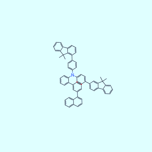 CC1(C)c2ccccc2-c2ccc(-c3ccc(N(c4ccc(-c5cccc6c5C(C)(C)c5ccccc5-6)cc4)c4ccccc4-c4cccc(-c5cccc6ccccc56)c4)cc3)cc21